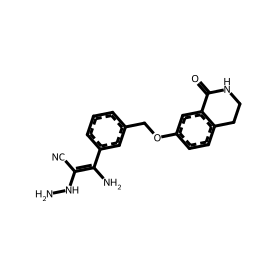 N#C/C(NN)=C(/N)c1cccc(COc2ccc3c(c2)C(=O)NCC3)c1